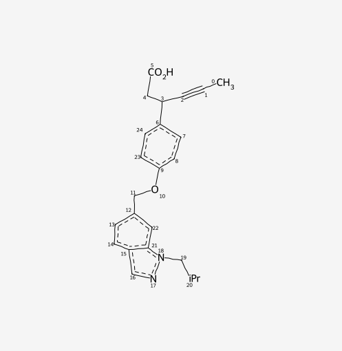 CC#CC(CC(=O)O)c1ccc(OCc2ccc3cnn(CC(C)C)c3c2)cc1